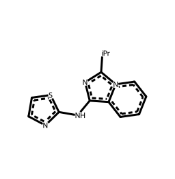 CC(C)c1nc(Nc2nccs2)c2ccccn12